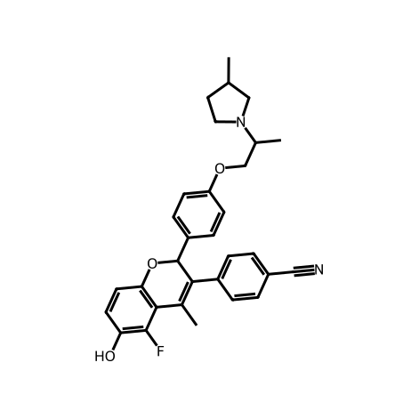 CC1=C(c2ccc(C#N)cc2)C(c2ccc(OCC(C)N3CCC(C)C3)cc2)Oc2ccc(O)c(F)c21